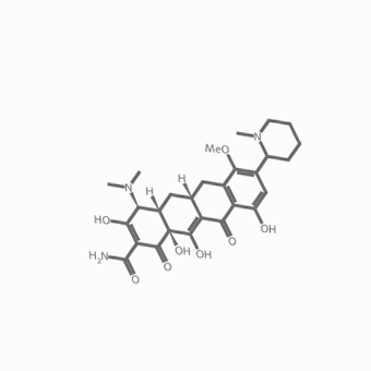 COc1c(C2CCCCN2C)cc(O)c2c1C[C@H]1C[C@H]3[C@H](N(C)C)C(O)=C(C(N)=O)C(=O)[C@@]3(O)C(O)=C1C2=O